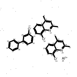 Cc1cc(C)c2cccc([O-])c2n1.Cc1cc(C)c2cccc([O-])c2n1.[Al+3].[O-]c1cccc(-c2ccccc2)c1